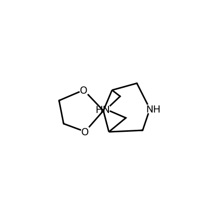 C1COC2(O1)C1CNCC2CNC1